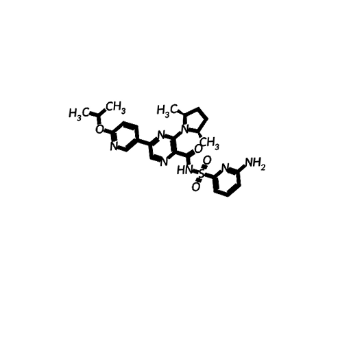 CC(C)Oc1ccc(-c2cnc(C(=O)NS(=O)(=O)c3cccc(N)n3)c(N3[C@H](C)CC[C@@H]3C)n2)cn1